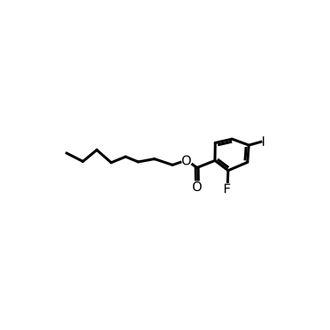 CCCCCCCCOC(=O)c1ccc(I)cc1F